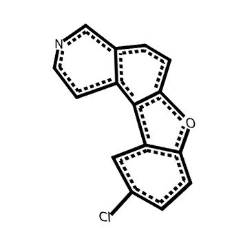 Clc1ccc2oc3ccc4cnccc4c3c2c1